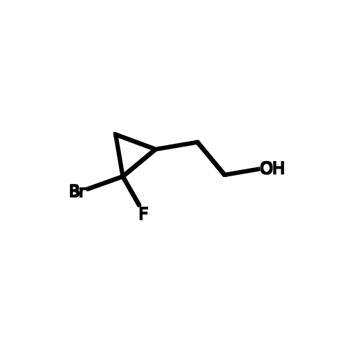 OCCC1CC1(F)Br